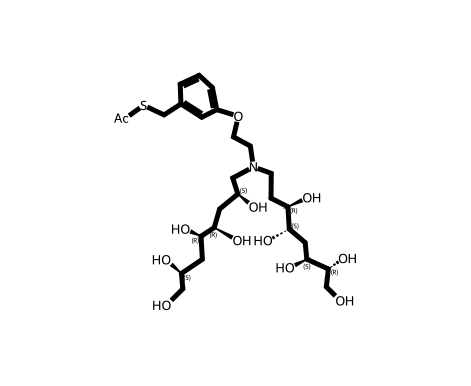 CC(=O)SCc1cccc(OCCN(CC[C@@H](O)[C@@H](O)C[C@H](O)[C@H](O)CO)C[C@@H](O)C[C@@H](O)[C@H](O)C[C@H](O)CO)c1